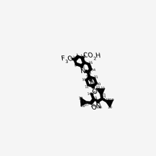 O=C(O)c1cc(C(F)(F)F)cc2nc(C34CCC(OCc5c(C(C6CC6)C6CC6)noc5C5CC5)(CC3)CC4)ccc12